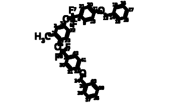 Cc1cc(OC(F)(F)c2ccc(OCc3ccccc3)cc2)ccc1OC(F)(F)c1ccc(OCc2ccccc2)cc1